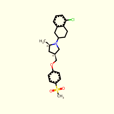 C[C@@H]1C[C@H](COc2ccc(S(C)(=O)=O)cc2)CN1C1CCc2c(Cl)cccc2C1